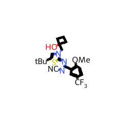 COc1ccc(C(F)(F)F)cc1C(=NC#N)/N=c1\sc(C(C)(C)C)cn1CC1(O)CCC1